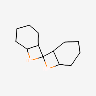 C1CCC2C(C1)PC21PC2CCCCC21